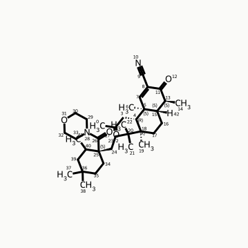 CC(=O)C[C@@H]1[C@@]2(C)C=C(C#N)C(=O)[C@@H](C)[C@@H]2CC[C@@]1(C)C(C)(C)CC[C@@]1(C(=O)N2CCOCC2)CCC(C)(C)CC1C